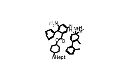 CC1=C(c2ccccc2C)C=CC(N)(N)C1.CCCCCCCC1CCC(OC(=O)c2cc(N)cc(N)c2-c2ccccc2)CC1